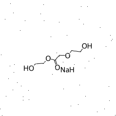 O=C(COCCO)OCCO.[NaH]